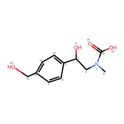 CN(CC(O)c1ccc(CO)cc1)C(=O)O